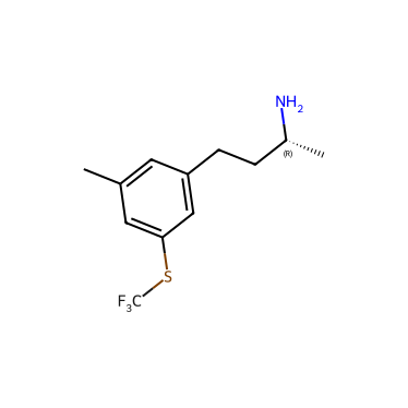 Cc1cc(CC[C@@H](C)N)cc(SC(F)(F)F)c1